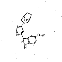 CC(C)Oc1ccc2[nH]nc(-c3cc(N4CC5CCC(C4)O5)ncn3)c2c1